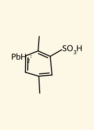 Cc1ccc(C)c(S(=O)(=O)O)c1.[PbH2]